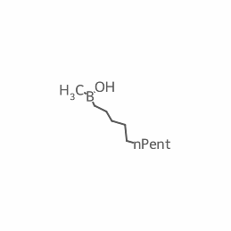 CCCCCCCCCCB(C)O